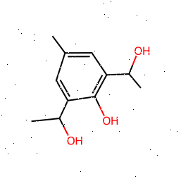 Cc1cc(C(C)O)c(O)c(C(C)O)c1